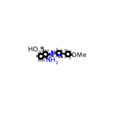 COc1ccc(-c2ccc(/N=N/c3cc(S(=O)(=O)O)c4ccccc4c3N)cn2)cc1